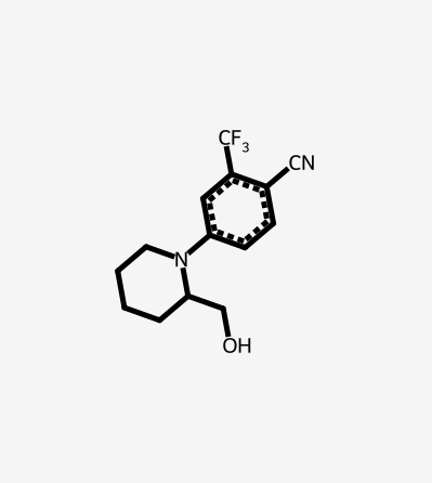 N#Cc1ccc(N2CCCCC2CO)cc1C(F)(F)F